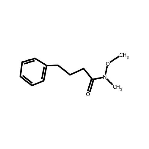 CON(C)C(=O)CCCc1ccccc1